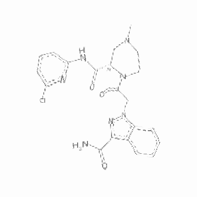 CN1CCN(C(=O)Cn2nc(C(N)=O)c3ccccc32)[C@H](C(=O)Nc2cccc(Cl)n2)C1